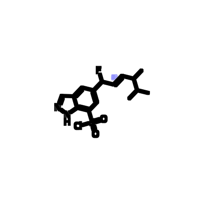 CC(C)C(C)/C=C/C(F)c1cc(S(=O)(=O)Cl)c2[nH]ncc2c1